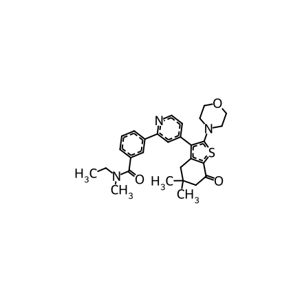 CCN(C)C(=O)c1cccc(-c2cc(-c3c(N4CCOCC4)sc4c3CC(C)(C)CC4=O)ccn2)c1